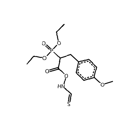 CCOP(=O)(OCC)C(Cc1ccc(OC)cc1)C(=O)ONC=S